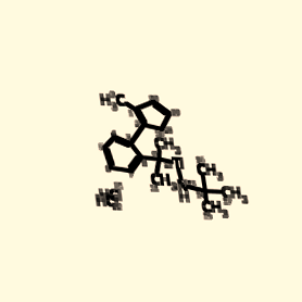 CC1=C(c2ccccc2[C](C)(C)[Ti][NH]C(C)(C)C)CC=C1.Cl.Cl